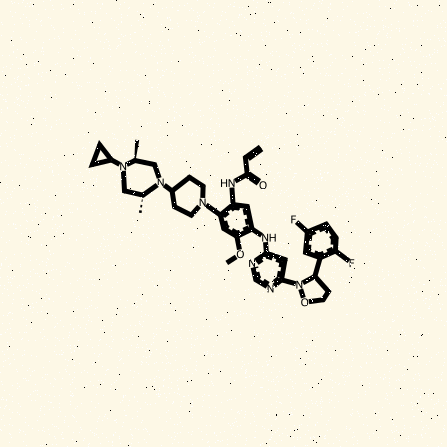 C=CC(=O)Nc1cc(Nc2cc(N3OCCC3c3cc(F)ccc3F)ncn2)c(OC)cc1N1CCC(N2C[C@H](C)N(C3CC3)C[C@H]2C)CC1